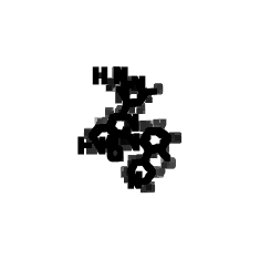 Cc1cc(-c2cc3cc[nH]c(=O)c3c(Nc3cccc(C)c3C3CC[N]CC3)n2)nc(N)n1